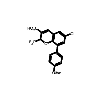 COc1ccc(-c2cc(Cl)cc3c2OC(C(F)(F)F)C(C(=O)O)=C3)cc1